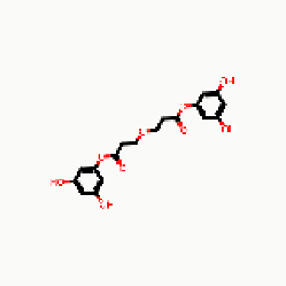 O=C(CCOCCC(=O)Oc1cc(O)cc(O)c1)Oc1cc(O)cc(O)c1